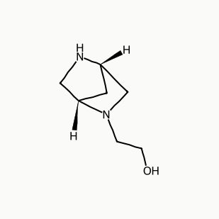 OCCN1C[C@@H]2C[C@H]1CN2